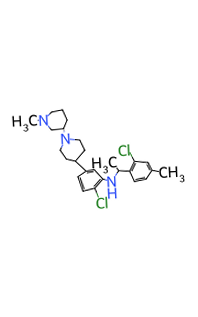 Cc1ccc(C(C)Nc2cc(C3CCN([C@H]4CCCN(C)C4)CC3)ccc2Cl)c(Cl)c1